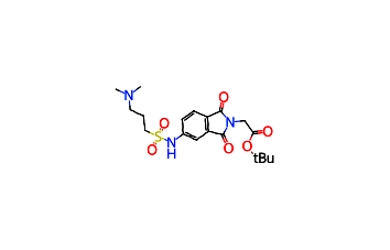 CN(C)CCCS(=O)(=O)Nc1ccc2c(c1)C(=O)N(CC(=O)OC(C)(C)C)C2=O